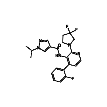 CC(C)n1cc(C(=O)Nc2c(-c3ccccc3F)ccnc2N2CCC(F)(F)C2)cn1